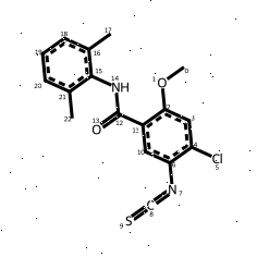 COc1cc(Cl)c(N=C=S)cc1C(=O)Nc1c(C)cccc1C